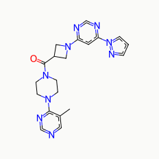 Cc1cncnc1N1CCN(C(=O)C2CN(c3cc(-n4cccn4)ncn3)C2)CC1